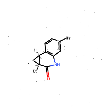 CC[C@]12C[C@H]1c1ccc(C(C)C)cc1NC2=O